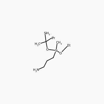 CCO[Si](C)(CCCN)OC(C)([SiH3])C(C)C